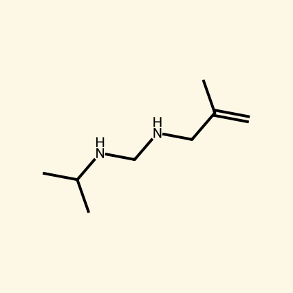 C=C(C)CNCNC(C)C